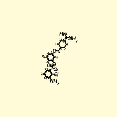 Cc1cc(OCC2CCN(C(=N)N)CC2)cc(OS(=O)(=O)c2cccc(N)c2Cl)c1